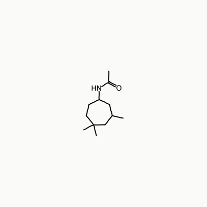 CC(=O)NC1CCC(C)(C)CC(C)C1